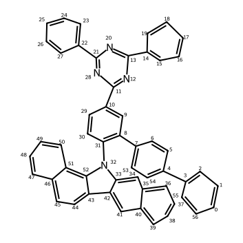 c1ccc(-c2ccc(-c3cc(-c4nc(-c5ccccc5)nc(-c5ccccc5)n4)ccc3-n3c4cc5ccccc5cc4c4ccc5ccccc5c43)cc2)cc1